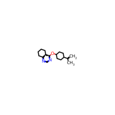 C=C(C)C1CCC(Oc2ncnc3c2CCCC3)CC1